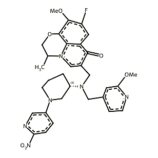 COc1cc(CN(Cc2cn3c4c(c(OC)c(F)cc4c2=O)OCC3C)[C@H]2CCCN(c3ccc([N+](=O)[O-])nc3)C2)ccn1